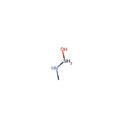 CN[SiH2]O